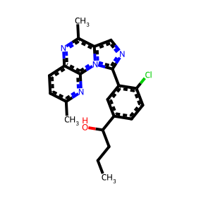 CCCC(O)c1ccc(Cl)c(-c2ncc3c(C)nc4ccc(C)nc4n23)c1